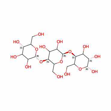 OCC1O[C@H](O[C@@H]2C(CO)O[C@H](O[C@@H]3C(CO)O[C@@H](O)[C@@H](O)C3O)C(O)C2O)C(O)C(O)[C@@H]1O